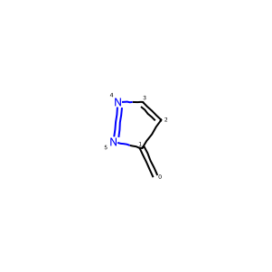 C=C1C=CN=N1